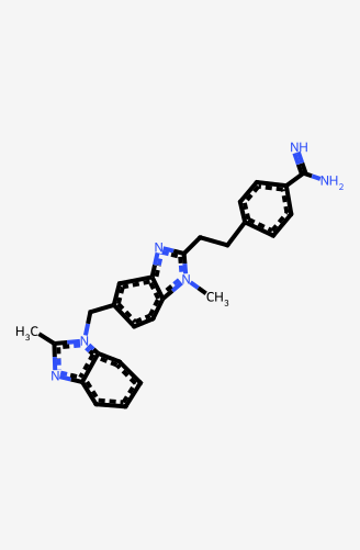 Cc1nc2ccccc2n1Cc1ccc2c(c1)nc(CCc1ccc(C(=N)N)cc1)n2C